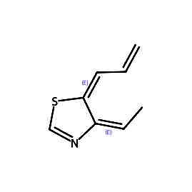 C=C/C=c1/scn/c1=C/C